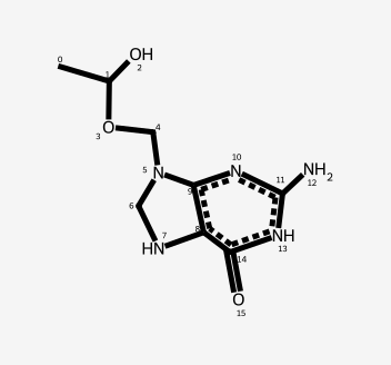 CC(O)OCN1CNc2c1nc(N)[nH]c2=O